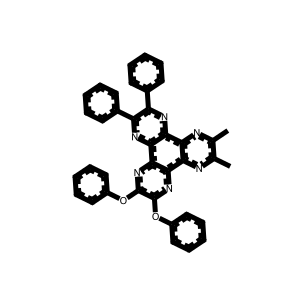 Cc1nc2c(nc1C)c1nc(-c3ccccc3)c(-c3ccccc3)nc1c1nc(Oc3ccccc3)c(Oc3ccccc3)nc21